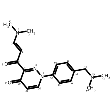 CN(C)/C=C/C(=O)c1nn(-c2ccc(CN(C)C)cc2)ccc1=O